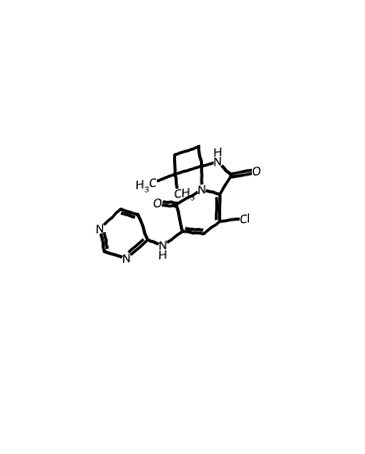 CC1(C)CCC12NC(=O)c1c(Cl)cc(Nc3ccncn3)c(=O)n12